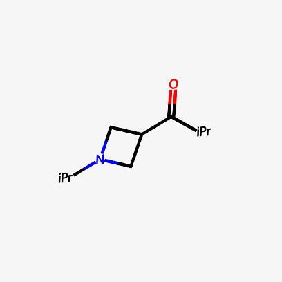 CC(C)C(=O)C1CN(C(C)C)C1